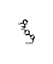 CC(=O)NCc1cnc(-c2cnc(NC(C)(C)c3ncccc3Cl)nc2)s1